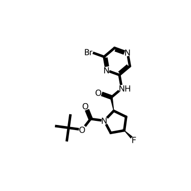 CC(C)(C)OC(=O)N1C[C@H](F)C[C@@H]1C(=O)Nc1cncc(Br)n1